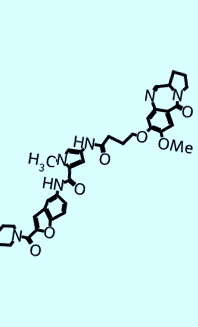 COc1cc2c(cc1OCCCC(=O)Nc1cc(C(=O)Nc3ccc4oc(C(=O)N5CCCCC5)cc4c3)n(C)c1)N=CC1CCCN1C2=O